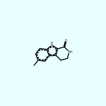 O=C1NCCc2c1[nH]c1ccc(I)cc21